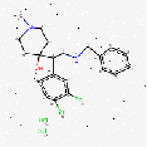 CN1CCC(O)(C(CNCc2ccccc2)c2ccc(Cl)c(Cl)c2)CC1.Cl.Cl